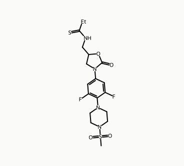 CCC(=S)NCC1CN(c2cc(F)c(N3CCN(S(C)(=O)=O)CC3)c(F)c2)C(=O)O1